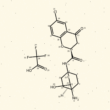 NC12CCC(NC(=O)[C@@H]3CC(=O)c4cc(Cl)ccc4O3)(CC1)C[C@@H]2O.O=C(O)C(F)(F)F